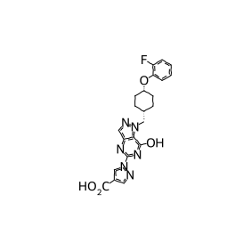 O=C(O)c1cnn(-c2nc(O)c3c(cnn3C[C@H]3CC[C@@H](Oc4ccccc4F)CC3)n2)c1